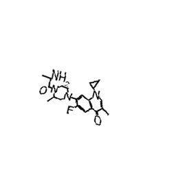 Cc1cn(C2CC2)c2cc(N3CCN(C(=O)C(C)N)C(C)C3)c(F)cc2c1=O